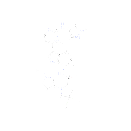 COc1nn(C)cc1Nc1nccc(-c2c[nH]c3c(NC(=O)C4CC(F)(F)CN4C4CCN(C)C4)cccc23)n1